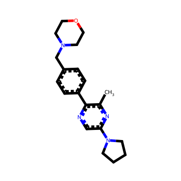 Cc1nc(N2CCCC2)cnc1-c1ccc(CN2CCOCC2)cc1